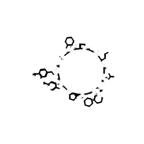 CC[C@H](C)[C@@H]1NC(=O)[C@H](CC(C)C)N(C)C(=O)C[C@@H](C(=O)N2CCCCC2)N(C)C(=O)[C@H](C2CCCCC2)N(C)C(=O)C2(CCCC2)NC(=O)[C@H](Cc2ccc(C(F)(F)F)nc2)N(C)C(=O)[C@H](CCc2ccc(C(F)(F)F)c(Cl)c2)NC(=O)CN(C)C(=O)[C@H](CC2CCCCC2)N(C)C(=O)[C@@H]2CCN2C(=O)[C@H](C)N(C)C1=O